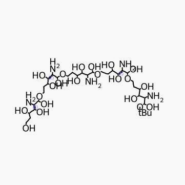 CC(C)(C)OC(O)C(N)C(O)C(O)CCOC(O)/C(N)=C(\O)C(O)CCOC(O)C(N)C(O)C(O)CCOC(O)/C(N)=C(/O)C(O)CCOC(O)/C(N)=C(\O)C(O)CCO